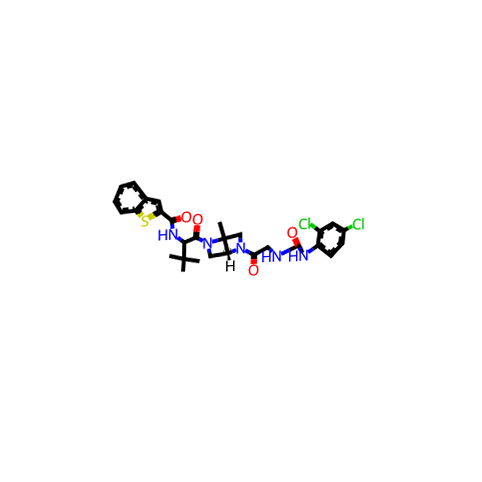 CC(C)(C)C(NC(=O)c1cc2ccccc2s1)C(=O)N1C[C@H]2N(C(=O)CNC(=O)Nc3ccc(Cl)cc3Cl)CC21C